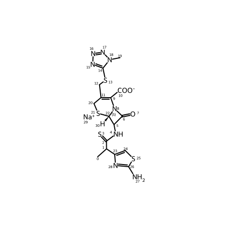 CC(C(=S)NC1C(=O)N2C(C(=O)[O-])=C(CSc3nnnn3C)CS[C@@H]12)c1csc(N)n1.[Na+]